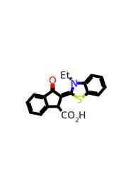 CCN1C(=C2C(=O)c3ccccc3C2C(=O)O)Sc2ccccc21